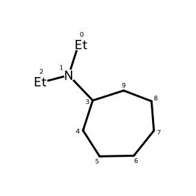 CCN(CC)C1CCCCCC1